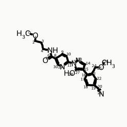 COCCCNC(=O)c1ccc(-n2ncc(-c3ccc(C#N)cc3COC)c2O)nc1